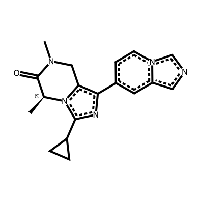 C[C@H]1C(=O)N(C)Cc2c(-c3ccn4cncc4c3)nc(C3CC3)n21